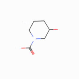 N.O=C(O)N1CCCC(O)C1